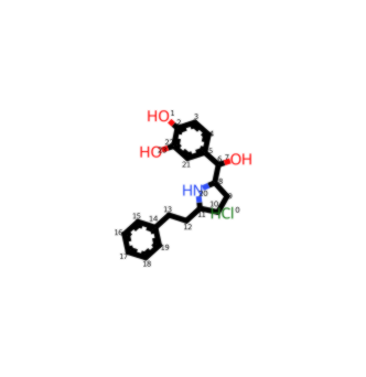 Cl.Oc1ccc(C(O)C2CCC(CCc3ccccc3)N2)cc1O